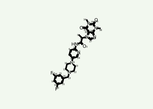 CC(C(=O)Nc1ccc(N2CCN(Cc3cc(F)cc(F)c3)CC2)cn1)n1cnc2c1c(=O)n(C)c(=O)n2C